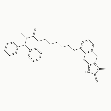 C=c1c(=O)[nH]c2n1Cc1cccc(OCCCCCCC(=O)N(C)C(c3ccccc3)c3ccccc3)c1N=2